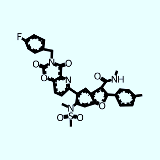 CNC(=O)c1c(-c2ccc(C)cc2)oc2cc(N(C)S(C)(=O)=O)c(-c3ccc4oc(=O)n(Cc5ccc(F)cc5)c(=O)c4n3)cc12